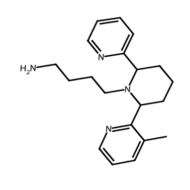 Cc1cccnc1C1CCCC(c2ccccn2)N1CCCCN